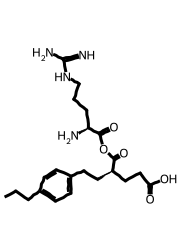 CCCc1ccc(CC[C@H](CCC(=O)O)C(=O)OC(=O)[C@@H](N)CCCNC(=N)N)cc1